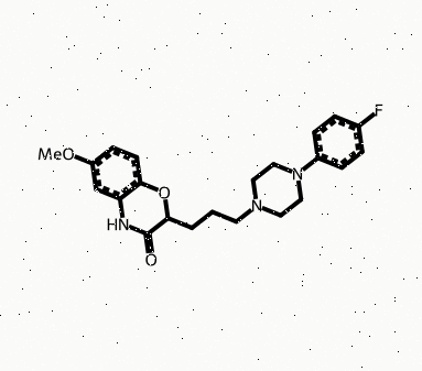 COc1ccc2c(c1)NC(=O)C(CCCN1CCN(c3ccc(F)cc3)CC1)O2